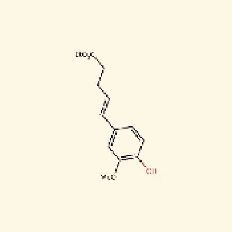 CCOC(=O)CC/C=C/c1ccc(O)c(OC)c1